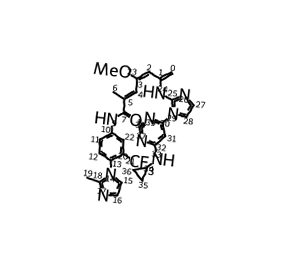 C=C(/C=C(\C=C(/C)C(=O)Nc1ccc(-n2ccnc2C)c(C(F)(F)F)c1)OC)Nc1nccn1-c1cc(NC2CC2)ncn1